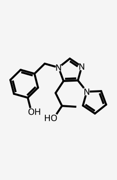 CC(O)Cc1c(-n2cccc2)ncn1Cc1cccc(O)c1